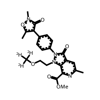 [2H]C([2H])([2H])OCCn1c2c(C(=O)OC)nc(C)cc2c(=O)n1-c1ccc(-c2c(C)on(C)c2=O)cc1